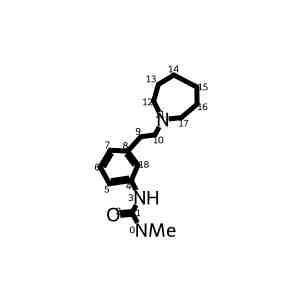 CNC(=O)Nc1cccc(CCN2CCCCCC2)c1